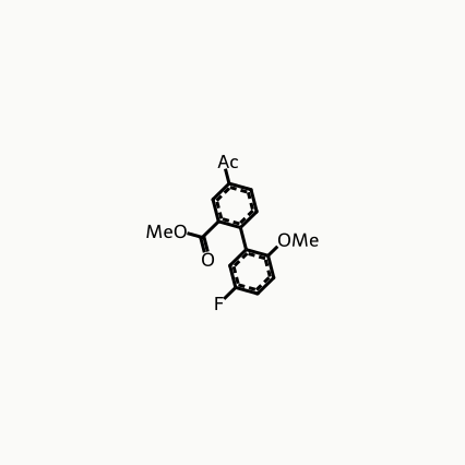 COC(=O)c1cc(C(C)=O)ccc1-c1cc(F)ccc1OC